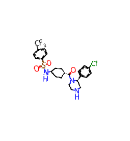 O=C([C@H]1CC[C@H](NS(=O)(=O)c2ccc(C(F)(F)F)cc2)CC1)N1CCNC[C@@H]1c1ccc(Cl)cc1